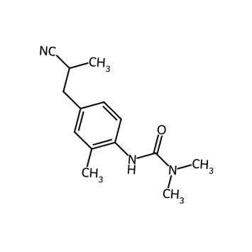 Cc1cc(CC(C)C#N)ccc1NC(=O)N(C)C